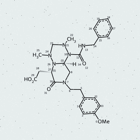 COc1ccc(CCN2C[C@@H]3N(C(=O)NCc4ccccc4)N(C)CN(C)N3[C@@H](CC(=O)O)C2=O)cc1